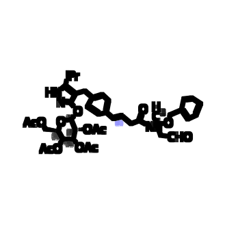 CC(=O)OC[C@H]1O[C@@H](Oc2n[nH]c(C(C)C)c2Cc2ccc(/C=C/CC(=O)NC(C)(CC=O)OCc3ccccc3)cc2)[C@H](OC(C)=O)[C@@H](OC(C)=O)[C@H]1OC(C)=O